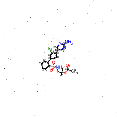 CC(C)(CNS(=O)(=O)c1ccccc1-c1ccc(-c2cnc(N)nc2)c(F)c1)OC(=O)C(F)(F)F